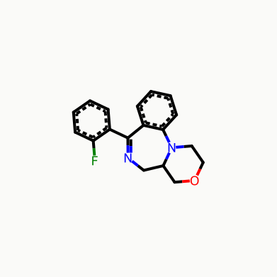 Fc1ccccc1C1=NCC2COCCN2c2ccccc21